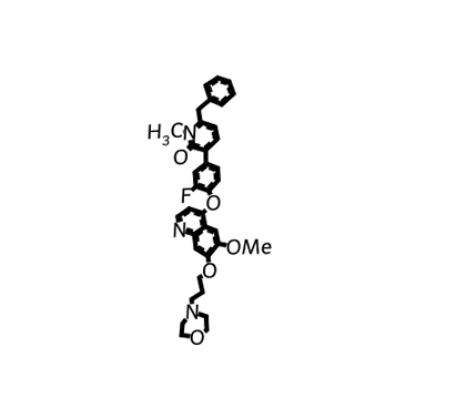 COc1cc2c(Oc3ccc(-c4ccc(Cc5ccccc5)n(C)c4=O)cc3F)ccnc2cc1OCCCN1CCOCC1